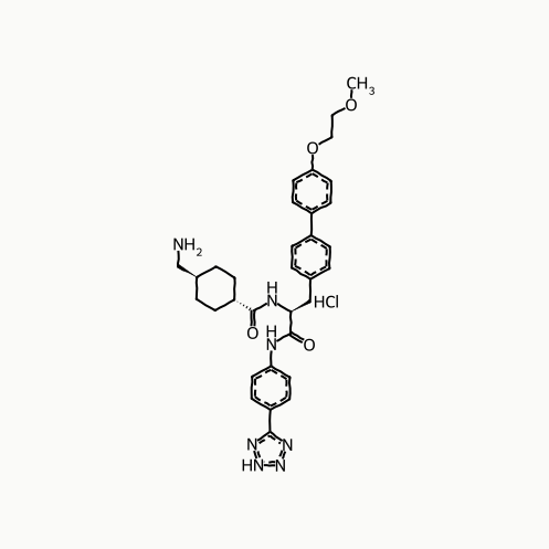 COCCOc1ccc(-c2ccc(C[C@H](NC(=O)[C@H]3CC[C@H](CN)CC3)C(=O)Nc3ccc(-c4nn[nH]n4)cc3)cc2)cc1.Cl